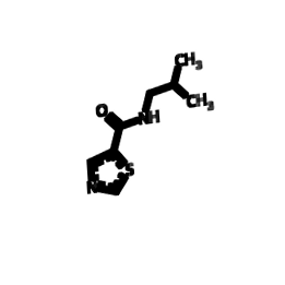 CC(C)CNC(=O)c1cncs1